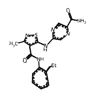 CCc1ccccc1NC(=O)c1c(C)nsc1Nc1cnc(C(N)=O)cn1